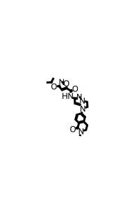 CC(C)Oc1cc(C(=O)Nc2cc3n(n2)CCN3c2ccc3c(c2)CCN(C)C3=O)on1